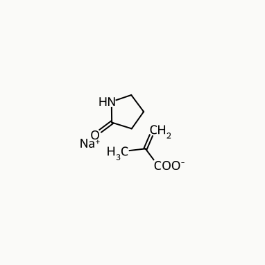 C=C(C)C(=O)[O-].O=C1CCCN1.[Na+]